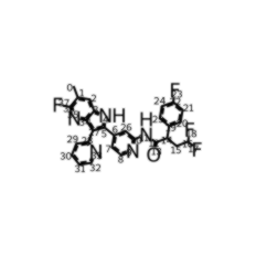 Cc1cc2[nH]c(-c3ccnc(NC(=O)C(CC(F)F)c4ccc(F)cc4)c3)c(-c3ccccn3)c2nc1F